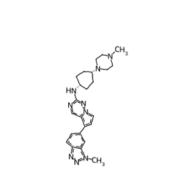 CN1CCN([C@H]2CC[C@@H](Nc3ncc4c(-c5ccc6nnn(C)c6c5)ccn4n3)CC2)CC1